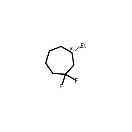 CC[C@H]1CCCCC(F)(F)C1